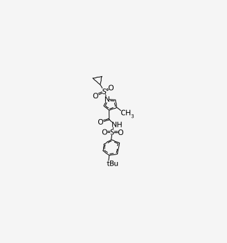 Cc1cn(S(=O)(=O)C2CC2)cc1C(=O)NS(=O)(=O)c1ccc(C(C)(C)C)cc1